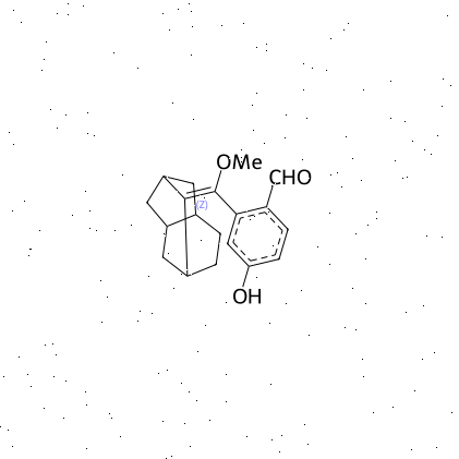 CO/C(=C1/C2CCC3CC1CC3C2)c1cc(O)ccc1C=O